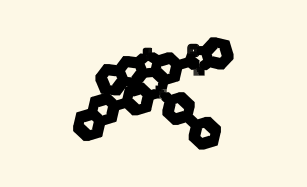 c1ccc(-c2ccc(N(c3ccc(-c4ccc5ccccc5c4)cc3)c3cc(-c4nc5ccccc5o4)cc4sc5cc6ccccc6cc5c34)cc2)cc1